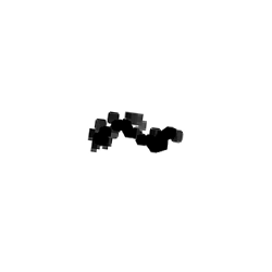 NC(CSCc1ccc(C=O)o1)C(=O)OC(=O)C(F)(F)F